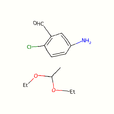 CCOC(C)OCC.Nc1ccc(Cl)c(C=O)c1